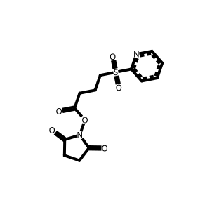 O=C(CCCS(=O)(=O)c1ccccn1)ON1C(=O)CCC1=O